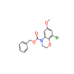 COc1cc(Br)c2c(c1)N(C(=O)OCc1ccccc1)CCO2